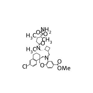 COC(=O)c1ccc2c(c1)N(C[C@@H]1CC[C@H]1CN(C)C(=O)C[C@H](C)[C@H](C)S(N)(=O)=O)C[C@@]1(CCCc3cc(Cl)ccc31)CO2